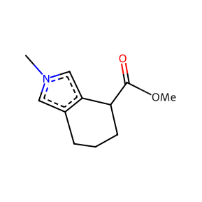 COC(=O)C1CCCc2cn(C)cc21